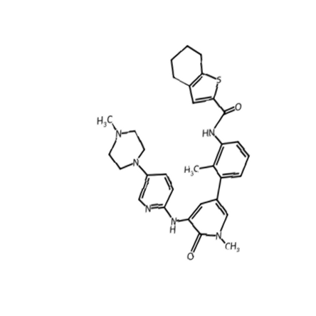 Cc1c(NC(=O)c2cc3c(s2)CCCC3)cccc1-c1cc(Nc2ccc(N3CCN(C)CC3)cn2)c(=O)n(C)c1